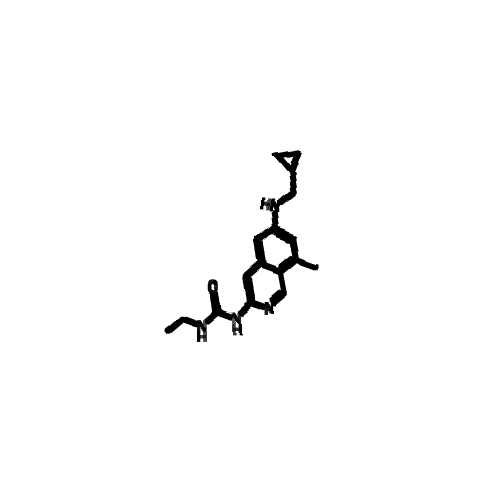 CCNC(=O)Nc1cc2cc(NCC3CC3)cc(C)c2cn1